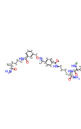 C/C(=N\OCc1cccc(C(=O)NCCCC[C@H](C)C(N)=O)c1)c1ccc(C(=O)NCCCC[C@H](NC(=O)[C@H](CC(C)C)NF)C(N)=O)cc1